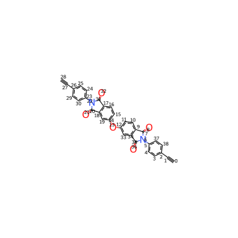 C#Cc1ccc(N2C(=O)c3ccc(Oc4ccc5c(c4)C(=O)N(c4ccc(C#C)cc4)C5=O)cc3C2=O)cc1